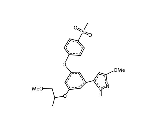 COCC(C)Oc1cc(Oc2ccc(S(C)(=O)=O)cc2)cc(-c2cc(OC)n[nH]2)c1